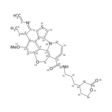 C=C/N=C\C(=C/C)c1cc2c(cc1OC)OCC1=C2N(c2ccsc2)CC=C=C1C(=O)NCCCC1CCOC(=O)C1